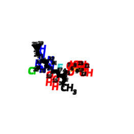 CC/C=C(/COP(=O)(O)CP(=O)(O)O)[C@@H](O)[C@H](F)[C@@H](O)n1cnc2c(NCC3CC3)nc(Cl)nc21